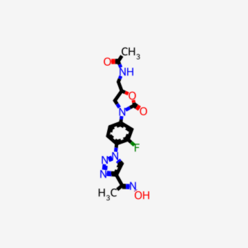 CC(=O)NCC1CN(c2ccc(-n3cc(C(C)=NO)nn3)c(F)c2)C(=O)O1